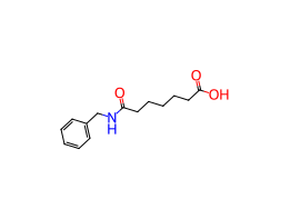 O=C(O)CCCCCC(=O)NCc1ccccc1